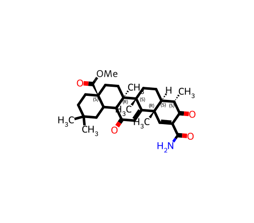 COC(=O)[C@]12CCC(C)(C)CC1C1C(=O)C=C3[C@@]4(C)C=C(C(N)=O)C(=O)[C@@H](C)[C@@H]4CC[C@@]3(C)[C@]1(C)CC2